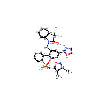 Cc1noc(NS(=O)(=O)c2ccccc2-c2ccc(-c3ncco3)cc2CN2C(=O)C(F)(F)c3ccccc32)c1C